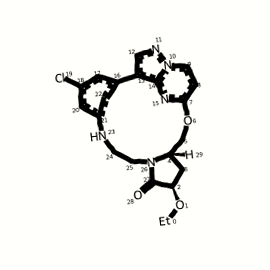 CCO[C@@H]1C[C@H]2COc3ccn4ncc(c4n3)-c3cc(Cl)cc(c3)NCCN2C1=O